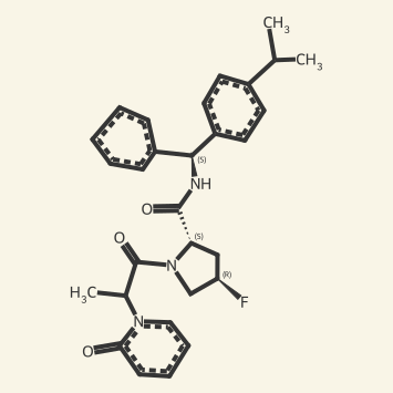 CC(C)c1ccc([C@@H](NC(=O)[C@@H]2C[C@@H](F)CN2C(=O)C(C)n2ccccc2=O)c2ccccc2)cc1